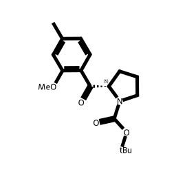 COc1cc(C)ccc1C(=O)[C@@H]1CCCN1C(=O)OC(C)(C)C